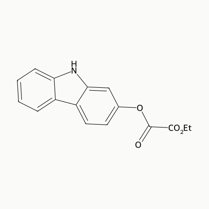 CCOC(=O)C(=O)Oc1ccc2c(c1)[nH]c1ccccc12